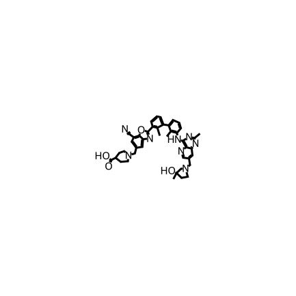 Cc1nc(Nc2cccc(-c3cccc(-c4nc5cc(CN6CCC(C(=O)O)CC6)cc(C#N)c5o4)c3C)c2C)c2ncc(CN3CCC(C)(O)C3)cc2n1